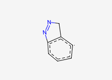 [c]1cccc2c1CN=N2